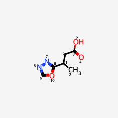 CC(CC(=O)O)c1nnco1